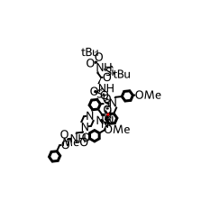 COc1ccc(CN(Cc2ccc(OC)cc2)S(=O)(=O)c2c(S(=O)(=O)NC[C@@H](CNC(=O)OC(C)(C)C)O[Si](C)(C)C(C)(C)C)ccc(N3CCN(C(=O)CNC(=O)OCc4ccccc4)CC3)c2-c2nnn(Cc3ccc(OC)cc3)n2)cc1